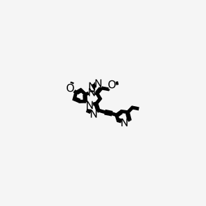 CCc1cncc(C#Cc2ncn3c2Cc2c(COC)nnn2-c2cc(OC)ccc2-3)c1